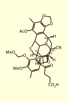 COCOc1c(OC)c(C)cc2c1[C@H]1C3C4SC[C@H](NC(=O)CCC(=O)O)C(=O)OC[C@@H](c5c6c(c(C)c(OC(C)=O)c54)OCO6)N3[C@@H](C#N)[C@H](C2)N1C